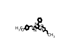 CCCC1CC(=O)N(Cc2cc(-c3ccccc3)nc3c2ncn3Cc2ccc(OC)cc2)C1